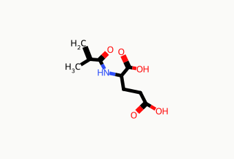 C=C(C)C(=O)NC(CCC(=O)O)C(=O)O